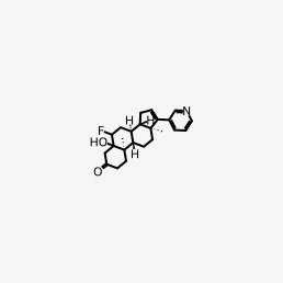 C[C@]12CC[C@H]3[C@@H](CC(F)C4(O)CC(=O)CC[C@]34C)[C@@H]1CC=C2c1cccnc1